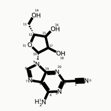 N#Cc1nc(N)c2ncn([C@@H]3O[C@H](CO)C(O)C3O)c2n1